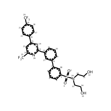 O=S(=O)(c1cccc(-c2cccc(-c3nc(-c4ccc(C(F)(F)F)cc4)cc(C(F)(F)F)n3)c2)c1)N(CCO)CCO